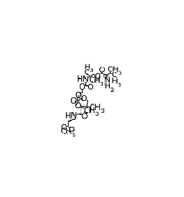 COC(=O)CCNC(=O)[C@@H]1OP(=O)(OCOC(=O)NC(C)(C)COC(=O)[C@@H](N)C(C)C)OCC1(C)C